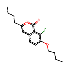 CCCCOc1ccc2cc(CCCC)oc(=O)c2c1F